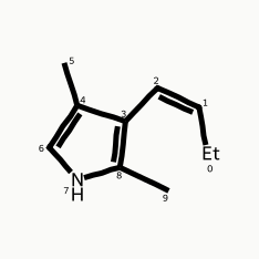 CC/C=C\c1c(C)c[nH]c1C